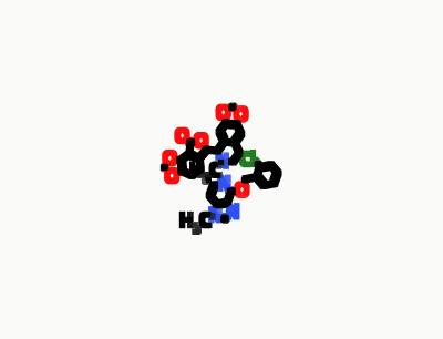 CN1CCc2cc3c(cc2[C@H]1[C@@H]1OC(=O)c2c1ccc1c2OCO1)OCO3.Cn1cnc2c(OCc3ccccc3Cl)nccc21